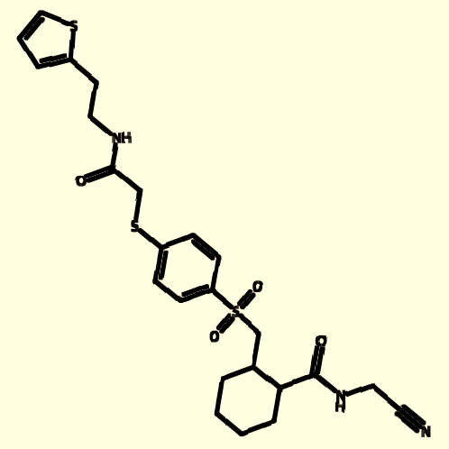 N#CCNC(=O)C1CCCCC1CS(=O)(=O)c1ccc(SCC(=O)NCCc2cccs2)cc1